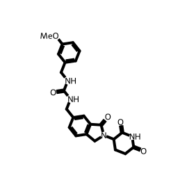 COc1cccc(CNC(=O)NCc2ccc3c(c2)C(=O)N(C2CCC(=O)NC2=O)C3)c1